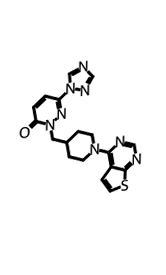 O=c1ccc(-n2cncn2)nn1CC1CCN(c2ncnc3sccc23)CC1